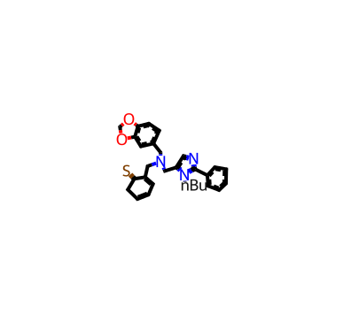 CCCCn1c(CN(CC2=CC=CCC2=S)Cc2ccc3c(c2)OCO3)cnc1-c1ccccc1